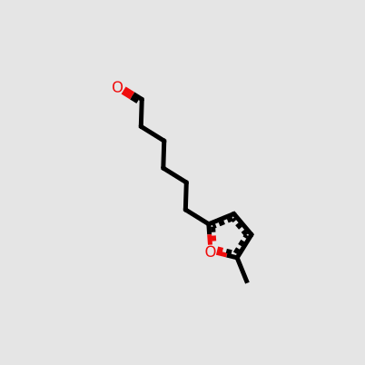 Cc1ccc(CCCCCC=O)o1